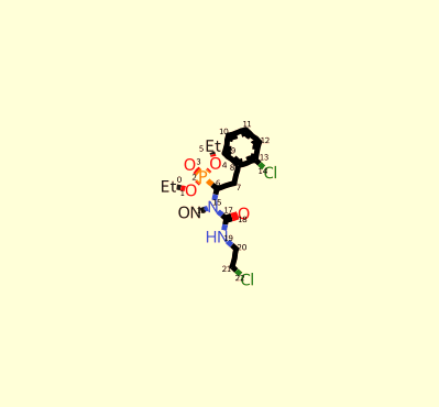 CCOP(=O)(OCC)C(Cc1ccccc1Cl)N(N=O)C(=O)NCCCl